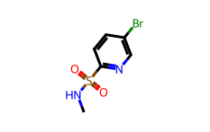 CNS(=O)(=O)c1ccc(Br)cn1